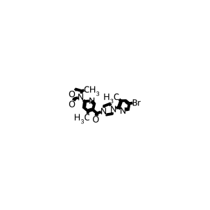 Cc1cc(N2C(=O)OCC2C)ncc1C(=O)N1CCN(c2ncc(Br)cc2C)CC1